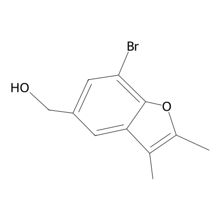 Cc1oc2c(Br)cc(CO)cc2c1C